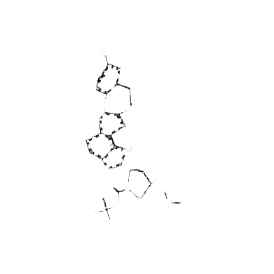 COC[C@H]1C[C@@H](c2nc3ccc4cc5c(cc4c3[nH]2)OCc2cc(Cl)ccc2-5)N(C(=O)OC(C)(C)C)C1